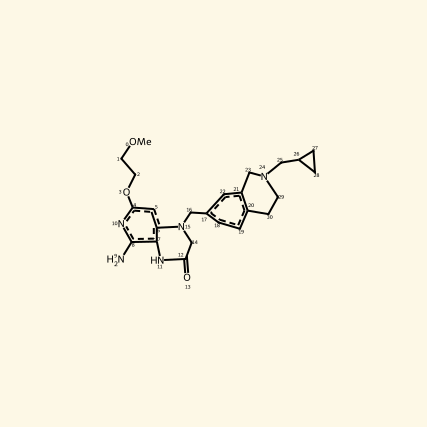 COCCOc1cc2c(c(N)n1)NC(=O)CN2Cc1ccc2c(c1)CN(CC1CC1)CC2